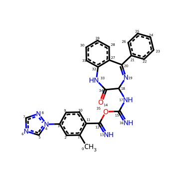 Cc1cc(-n2cncn2)ccc1C(=N)OC(=N)NC1N=C(c2ccccc2)c2ccccc2NC1=O